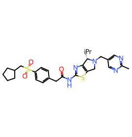 Cc1ncc(CN2Cc3sc(NC(=O)Cc4ccc(S(=O)(=O)CC5CCCC5)cc4)nc3[C@@H]2C(C)C)cn1